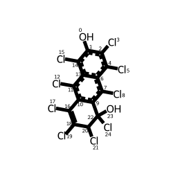 Oc1c(Cl)c(Cl)c2c(Cl)c3c(c(Cl)c2c1Cl)C(Cl)=C(Cl)C(Cl)C3(O)Cl